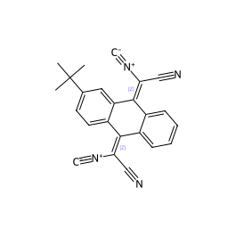 [C-]#[N+]/C(C#N)=c1/c2ccccc2/c(=C(\C#N)[N+]#[C-])c2cc(C(C)(C)C)ccc12